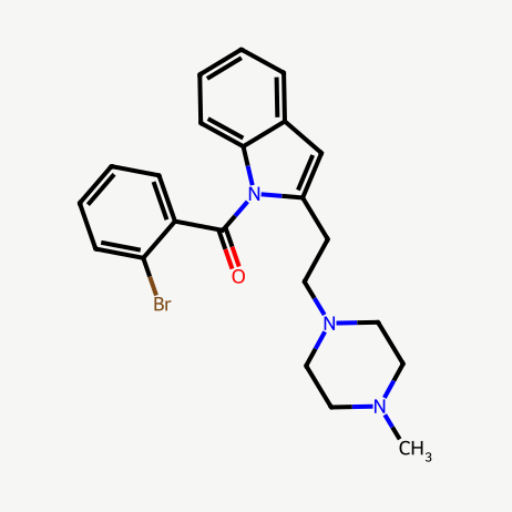 CN1CCN(CCc2cc3ccccc3n2C(=O)c2ccccc2Br)CC1